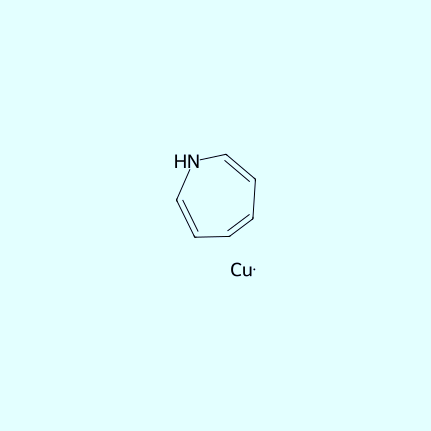 C1=CC=CNC=C1.[Cu]